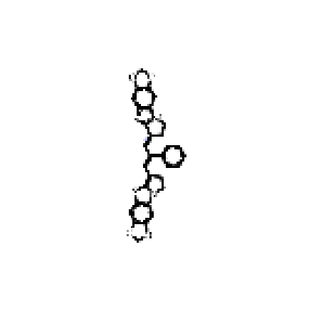 C(/C1=C2Sc3cc4c(cc3N2CC1)OCO4)=C(\C=C1/CC[n+]2c1sc1cc3c(cc12)OCO3)c1ccccc1